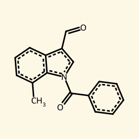 Cc1cccc2c(C=O)cn(C(=O)c3ccccc3)c12